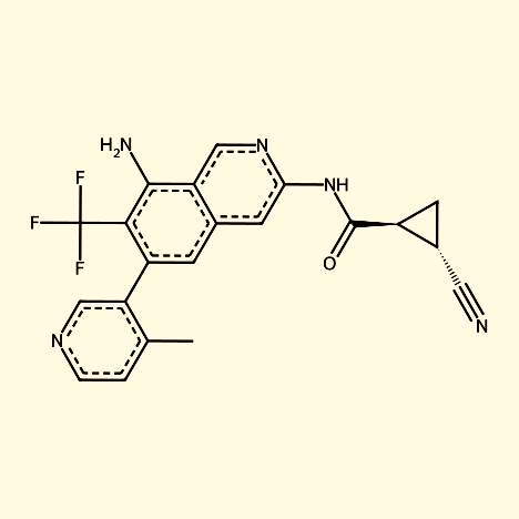 Cc1ccncc1-c1cc2cc(NC(=O)[C@H]3C[C@@H]3C#N)ncc2c(N)c1C(F)(F)F